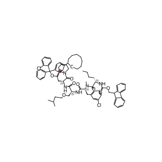 CCCC[C@H](NC(=O)OCC1c2ccccc2-c2ccccc21)C(=O)N(C)[C@@H](Cc1cccc(Cl)c1)C(=O)N[C@@H](COCCC(C)C)C(=O)N[C@@H](CC(=O)OC(c1ccccc1)(c1ccc(C2CCCCCCCC2)cc1)c1ccccc1Cl)C(=O)N1CCCCC1